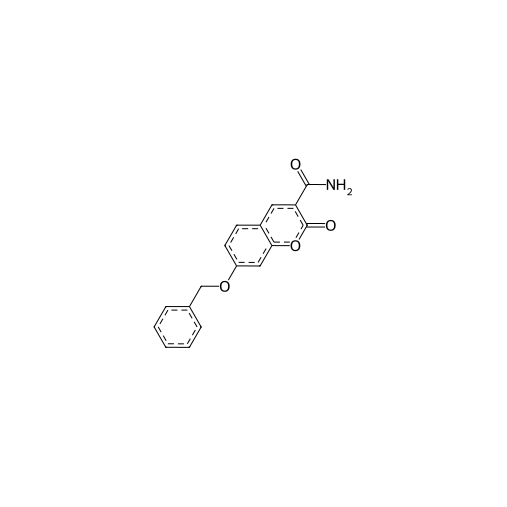 NC(=O)c1cc2ccc(OCc3ccccc3)cc2oc1=O